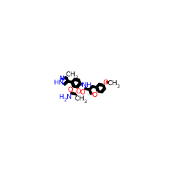 COc1ccc2c(c1)CC(C(=O)Nc1ccc(-c3c[nH]nc3C)cc1O[C@@H](C)C(N)=O)CO2